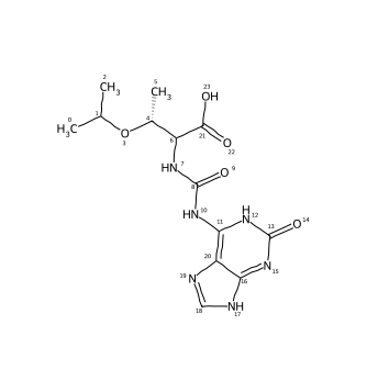 CC(C)O[C@H](C)C(NC(=O)Nc1[nH]c(=O)nc2[nH]cnc12)C(=O)O